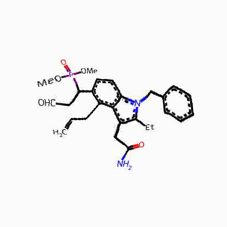 C=CCc1c(C(CC=O)P(=O)(OC)OC)ccc2c1c(CC(N)=O)c(CC)n2Cc1ccccc1